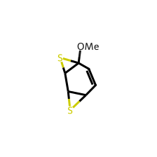 COC12C=CC3SC3C1S2